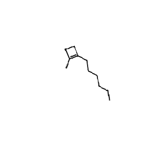 CCCCCCC1=C(C)CC1